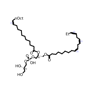 CC/C=C\C/C=C\C/C=C\CCCCCCCC(=O)OC[C@H](COP(=O)(O)OC[C@@H](O)CO)OC(=O)CCCCCCCCC/C=C\CCCCCCCC